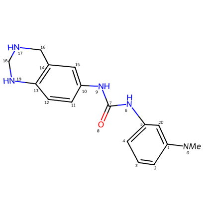 CNc1cccc(NC(=O)Nc2ccc3c(c2)CNCN3)c1